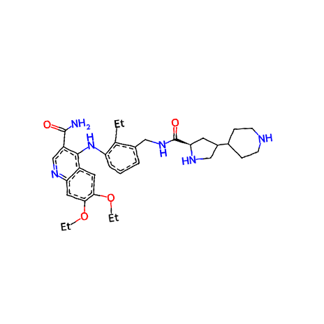 CCOc1cc2ncc(C(N)=O)c(Nc3cccc(CNC(=O)[C@H]4CC(C5CCNCC5)CN4)c3CC)c2cc1OCC